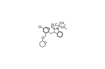 CC(C)(C)N1C(=O)C(Cc2ncc(Cl)cc2COC2CCCCO2)c2ccccc21